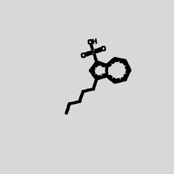 CCCCCc1cc(S(=O)(=O)O)c2cccccc1-2